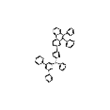 c1ccc(-c2cc(-c3ccccc3)cc(N(c3ccccc3)c3ccc(-c4ccc5c(c4)c(-c4ccccc4)c(-c4ccccc4)c4ccccc45)cc3)c2)cc1